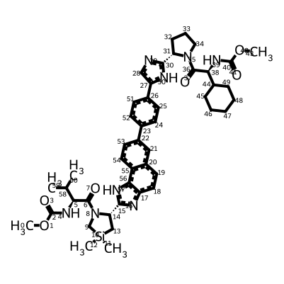 COC(=O)N[C@H](C(=O)N1C[Si](C)(C)C[C@H]1c1nc2ccc3cc(-c4ccc(-c5cnc([C@@H]6CCCN6C(=O)[C@@H](NC(=O)OC)C6CCCCC6)[nH]5)cc4)ccc3c2[nH]1)C(C)C